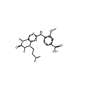 COc1cc(C(=O)O)ccc1Nc1ncc2c(n1)N(CCC(C)C)C(C)C(=O)N2C